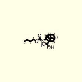 CCCCOC(=O)NC1C2=CC3CC2CC1(C(=O)O)C3